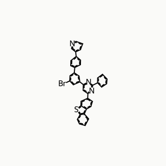 Brc1cc(-c2ccc(-c3cccnc3)cc2)cc(-c2cc(-c3ccc4c(c3)sc3ccccc34)nc(-c3ccccc3)n2)c1